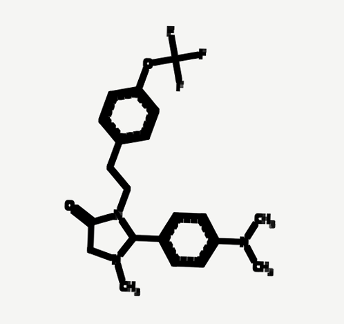 CN(C)c1ccc(C2N(C)CC(=O)N2CCc2ccc(OC(F)(F)F)cc2)cc1